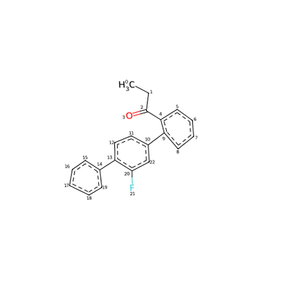 CCC(=O)c1ccccc1-c1ccc(-c2ccccc2)c(F)c1